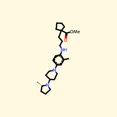 COC(=O)C1(CCCNc2ccc(N3CCC(N4CCC[C@@H]4C)CC3)cc2C)CCCC1